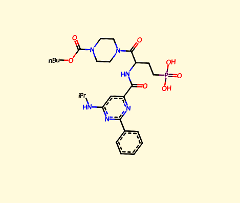 CCCCOC(=O)N1CCN(C(=O)C(CCP(=O)(O)O)NC(=O)c2cc(NC(C)C)nc(-c3ccccc3)n2)CC1